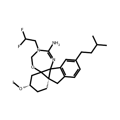 CC(C)CCc1ccc2c(c1)C13N=C(N)N(CC(F)F)COC14C[C@@H](OI)CC[C@]43C2